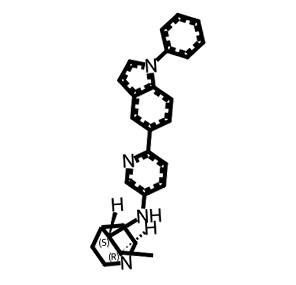 C[C@@H]1[C@@H](Nc2ccc(-c3ccc4c(ccn4-c4ccccc4)c3)nc2)C2CCN1CC2